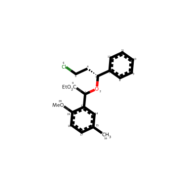 CCOC(=O)C(O[C@H](CCCl)c1ccccc1)c1cc(C)ccc1OC